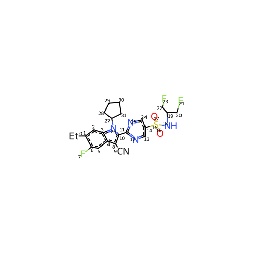 CCc1cc2c(cc1F)c(C#N)c(-c1ncc(S(=O)(=O)NC(CF)CF)cn1)n2C1CCCC1